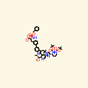 CCn1c(-c2cccnc2C(C)OC)c(CC(C)(C)n2cc([C@@H]3CCCN(C(=O)OC(C)(C)C)N3C(=O)OC(C)(C)C)nn2)c2cc(-c3cccc(CC(NC(=O)OCc4ccccc4)C(=O)O)c3)ccc21